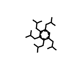 CC(C)Cc1[c]c(CC(C)C)c(CC(C)C)c(CC(C)C)c1CC(C)C